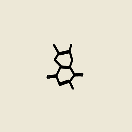 CC1=CC(=O)C2=C(CC(C)=C(C)C2)C1=O